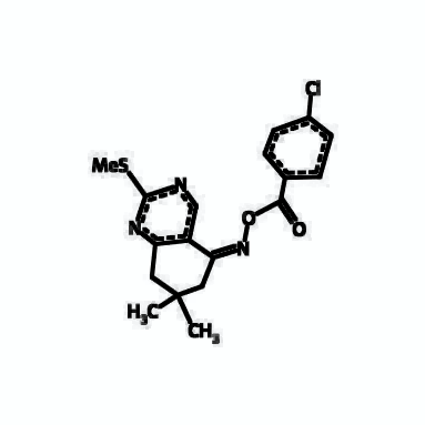 CSc1ncc2c(n1)CC(C)(C)C/C2=N/OC(=O)c1ccc(Cl)cc1